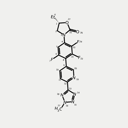 CC[C@H]1CN(c2cc(F)c(-c3ccc(-c4nnn(C)n4)nc3)c(F)c2F)C(=O)O1